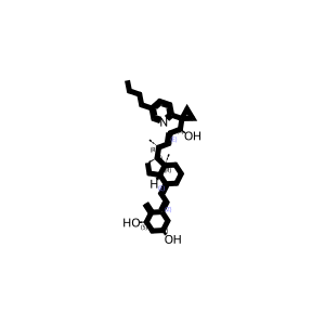 C=C1/C(=C\C=C2/CCC[C@]3(C)[C@@H]([C@H](C)/C=C/[C@@H](O)C4(c5ccc(CCCC)cn5)CC4)CC[C@@H]23)C[C@@H](O)C[C@@H]1O